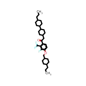 CCCC1CCC(COc2ccc(C(=O)CC3CCC(C4CCC(CCC)CC4)CC3)c(C(F)F)c2F)CC1